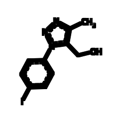 Cc1nnn(-c2ccc(I)cc2)c1CO